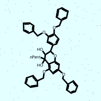 CCCCCC1(O)c2c(OCc3ccccc3)cc(OCc3ccccc3)cc2OC(c2ccc(OCc3ccccc3)c(OCc3ccccc3)c2)C1O